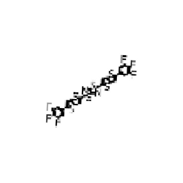 Fc1cc(-c2cc3sc(-c4nc5sc(-c6cc7sc(-c8cc(F)c(F)c(F)c8)cc7s6)nc5s4)cc3s2)cc(F)c1F